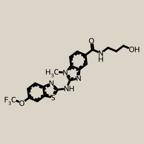 Cn1c(Nc2nc3ccc(OC(F)(F)F)cc3s2)nc2cc(C(=O)NCCCO)ccc21